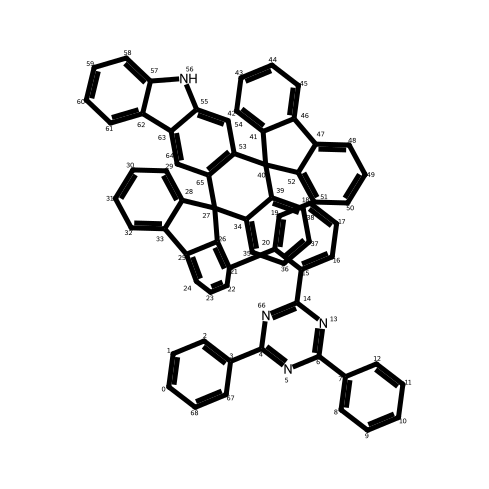 c1ccc(-c2nc(-c3ccccc3)nc(-c3ccccc3-c3cccc4c3C3(c5ccccc5-4)c4ccccc4C4(c5ccccc5-c5ccccc54)c4cc5[nH]c6ccccc6c5cc43)n2)cc1